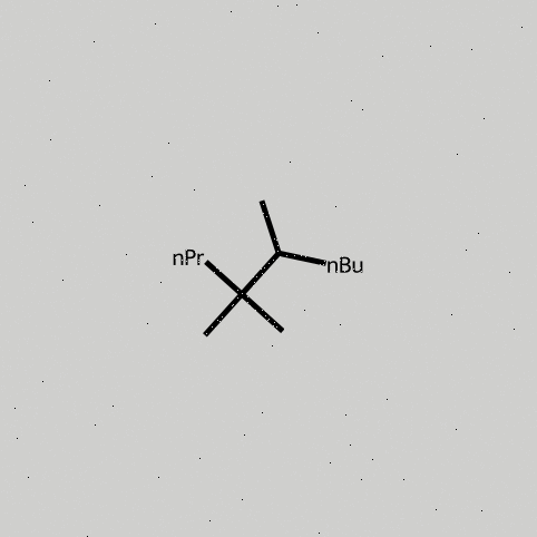 CCCCC(C)C(C)(C)CCC